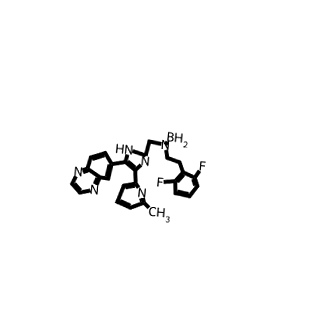 BN(CCc1c(F)cccc1F)Cc1nc(-c2cccc(C)n2)c(-c2ccc3nccnc3c2)[nH]1